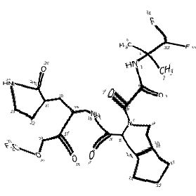 CC(C)(NC(=O)C(=O)N1CC2CCCC2C1C(=O)NC(CC1CCNC1=O)C(=O)COC(F)(F)F)C(F)F